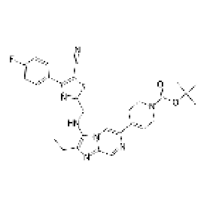 CCc1nc2cnc(C3=CCN(C(=O)OC(C)(C)C)CC3)cn2c1NCc1nc(-c2ccc(F)cc2)c(C#N)s1